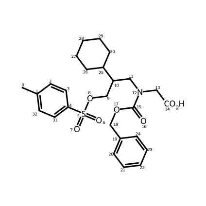 Cc1ccc(S(=O)(=O)OCC(CN(CC(=O)O)C(=O)OCc2ccccc2)C2CCCCC2)cc1